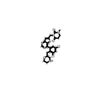 CN1CCC(=O)N(Cc2cc3ncnc(-c4cc(Cl)cc(Cl)c4CC4CNCCO4)c3s2)C1=O